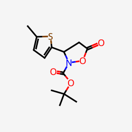 Cc1ccc(C2CC(=O)ON2C(=O)OC(C)(C)C)s1